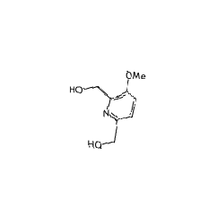 COc1ccc(CO)nc1CO